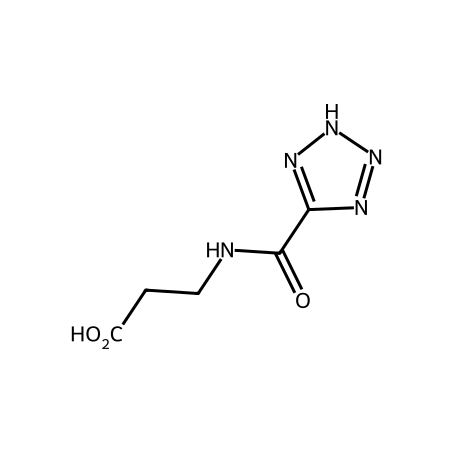 O=C(O)CCNC(=O)c1nn[nH]n1